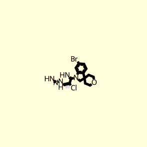 N=NN/C=C(/Cl)C(=N)N1CC2(CCOCC2)c2ccc(Br)cc21